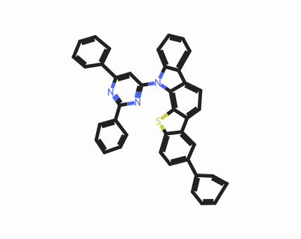 c1ccc(-c2ccc3sc4c(ccc5c6ccccc6n(-c6cc(-c7ccccc7)nc(-c7ccccc7)n6)c54)c3c2)cc1